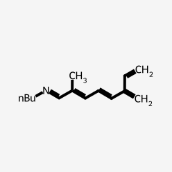 C=CC(=C)/C=C/C=C(C)/C=N/CCCC